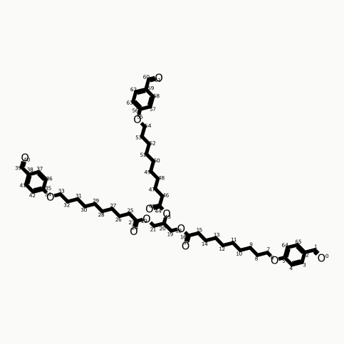 O=Cc1ccc(OCCCCCCCCCC(=O)OCC(COC(=O)CCCCCCCCCOc2ccc(C=O)cc2)OC(=O)CCCCCCCCCOc2ccc(C=O)cc2)cc1